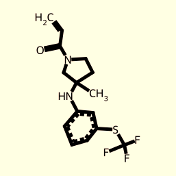 C=CC(=O)N1CCC(C)(Nc2cccc(SC(F)(F)F)c2)C1